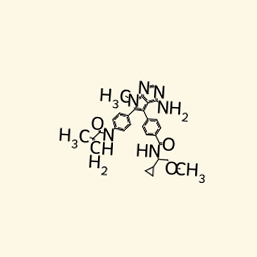 C=C(C)C(=O)Nc1ccc(-c2c(-c3ccc(C(=O)NC(COC)C4CC4)cc3)c3c(N)ncnc3n2C)cc1